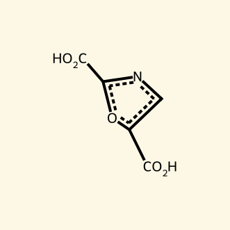 O=C(O)c1cnc(C(=O)O)o1